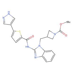 CC(C)(C)OC(=O)N1CC(Cn2c(NC(=O)c3ccc(-c4cn[nH]c4)s3)nc3ccccc32)C1